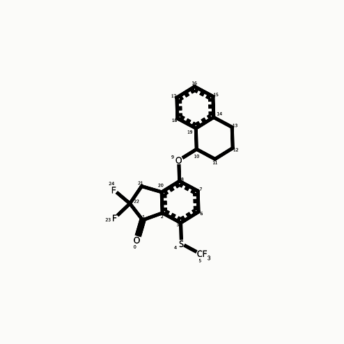 O=C1c2c(SC(F)(F)F)ccc(OC3CCCc4ccccc43)c2CC1(F)F